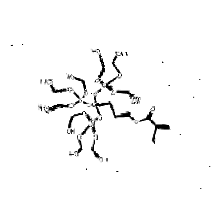 C=C(C)C(=O)OCCC[Si](O[Si](OCO)(OCO)OCO)(O[Si](OCO)(OCO)OCO)O[Si](OCO)(OCO)OCO